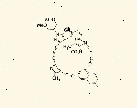 COCC(COC)n1nc2c(c1C)-c1c(Cl)ccc3c1c(C)c(C(=O)O)n3CCCOc1cc(cc3cc(F)ccc13)CCc1cc(nn1C)CSC2